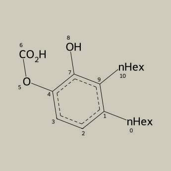 CCCCCCc1ccc(OC(=O)O)c(O)c1CCCCCC